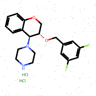 Cl.Cl.Fc1cc(F)cc(CO[C@H]2COc3ccccc3[C@@H]2N2CCNCC2)c1